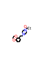 [CH2]CC(=O)N1CCN(CCc2cccc3c2OCCO3)CC1